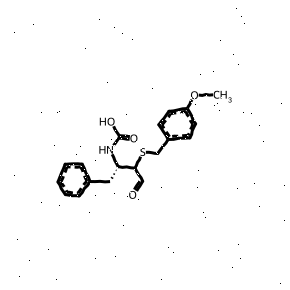 COc1ccc(CSC(C=O)[C@H](Cc2ccccc2)NC(=O)O)cc1